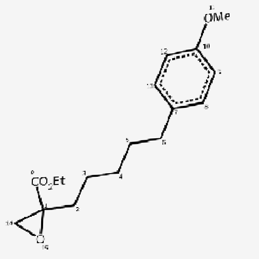 CCOC(=O)C1(CCCCCc2ccc(OC)cc2)CO1